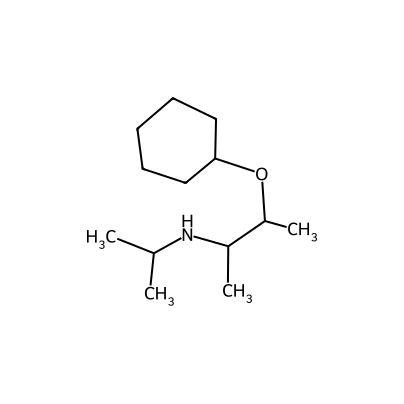 CC(C)NC(C)C(C)OC1CCCCC1